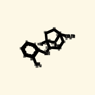 CCOC(=O)[C@]12CC[C@@H](Nc3ccccc3N)[C@H](CC1)N2C